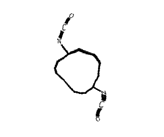 O=C=NC1CCCCCC(N=C=O)CCCC1